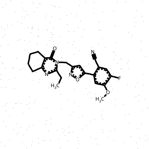 CCc1nc2c(c(=O)n1Cc1cc(-c3cc(OC)c(F)cc3C#N)on1)CCCC2